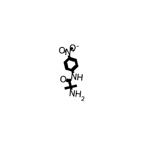 CC(C)(N)C(=O)Nc1ccc([N+](=O)[O-])cc1